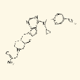 NC(=O)CN1CCC(Cn2ccc3c(N(Cc4ccc(C(F)(F)F)cc4)C4CC4)ncnc32)[C@@H](F)C1